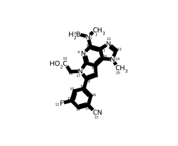 BN(C)c1nc2c(cc(-c3cc(F)cc(C#N)c3)n2CC(=O)O)c2c1ncn2C